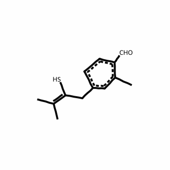 CC(C)=C(S)Cc1ccc(C=O)c(C)c1